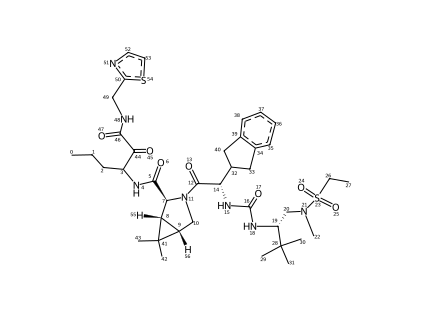 CCCC(NC(=O)[C@@H]1[C@@H]2[C@H](CN1C(=O)[C@@H](NC(=O)N[C@H](CN(C)S(=O)(=O)CC)C(C)(C)C)C1Cc3ccccc3C1)C2(C)C)C(=O)C(=O)NCc1nccs1